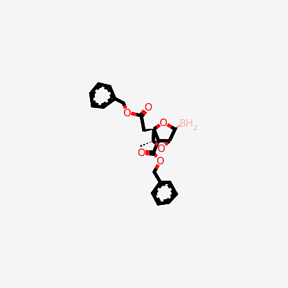 B[C@@H]1O[C@]2(CC(=O)OCc3ccccc3)C(C(=O)OCc3ccccc3)C1O[C@@H]2C